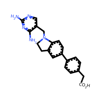 Nc1ncc(CN2CCc3cc(-c4ccc(CC(=O)O)cc4)ccc32)c(N)n1